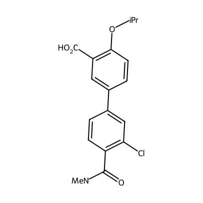 CNC(=O)c1ccc(-c2ccc(OC(C)C)c(C(=O)O)c2)cc1Cl